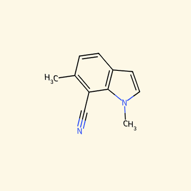 Cc1ccc2ccn(C)c2c1C#N